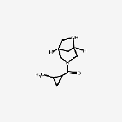 CC1CC1C(=O)N1C[C@@H]2CN[C@@H](C2)C1